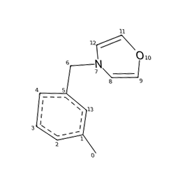 Cc1cccc(CN2C=COC=C2)c1